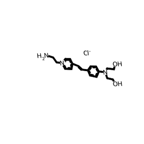 NCC[n+]1ccc(/C=C/c2ccc(N(CCO)CCO)cc2)cc1.[Cl-]